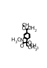 C=C(OC)c1ccc2c(c1)N(C)C(=O)C2(CC)OC